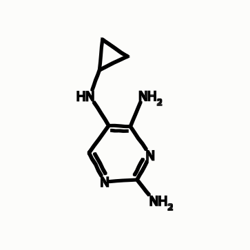 Nc1ncc(NC2CC2)c(N)n1